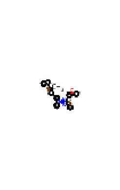 Cc1c(-c2cccc3ccccc23)sc2ccc(-c3ccc4c(c3)C3C=CC=CC3N4c3nc(-c4ccc5oc6ccccc6c5c4)c4sc5ccccc5c4n3)cc12